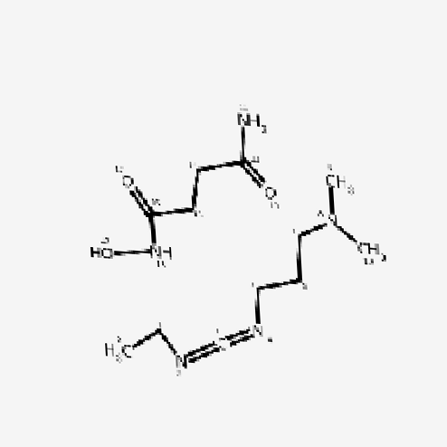 CCN=C=NCCCN(C)C.NC(=O)CCC(=O)NO